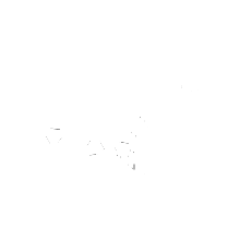 CC(OCCOCCN1CCN(c2nc(N)nc3c2CCc2cc(OCc4ccc(Cl)cc4)ccc2-3)CC1)C(=O)O